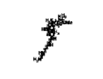 COC(=O)[C@H](C)NC(=O)CC[C@@H](C)[C@H]1CC[C@H]2[C@@H]3[C@H](O)C[C@@H]4C[C@@H](NCCCNCCCCNCCCN)CC[C@]4(C)[C@H]3CC[C@]12C